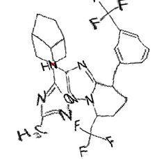 Cc1noc(N2CC3CCC(C2)C3Nc2nc3n(n2)C(C(F)(F)F)CCC3c2cccc(C(F)(F)F)c2)n1